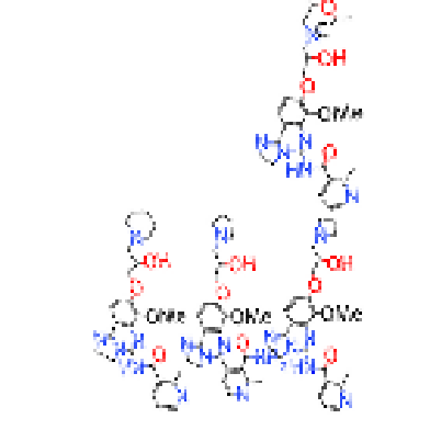 COc1c(OC[C@H](O)CN2CCC2)ccc2c1N=C(NC(=O)c1cccnc1C)N1CCN=C21.COc1c(OC[C@H](O)CN2CCCC2)ccc2c1N=C(c1ccnc(C)c1C(N)=O)N1CCN=C21.COc1c(OC[C@H](O)CN2CCCCC2)ccc2c1N=C(NC(=O)c1cccnc1C)N1CCN=C21.COc1c(OC[C@H](O)CN2C[C@@H](C)O[C@@H](C)C2)ccc2c1N=C(NC(=O)c1cccnc1C)N1CCN=C21